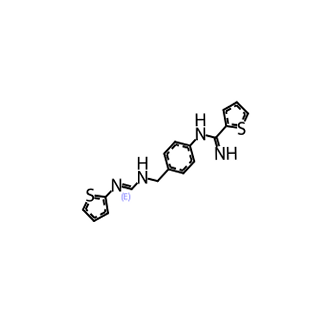 N=C(Nc1ccc(CN/C=N/c2cccs2)cc1)c1cccs1